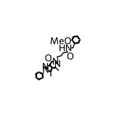 COc1ccccc1CNC(=O)CCCn1nc(C)c2c(C)n(-c3ccccc3)nc2c1=O